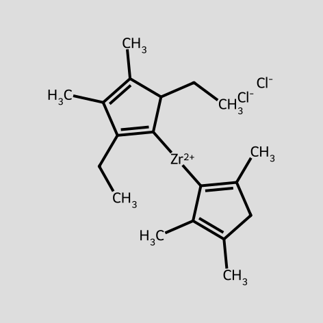 CCC1=[C]([Zr+2][C]2=C(C)CC(C)=C2C)C(CC)C(C)=C1C.[Cl-].[Cl-]